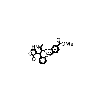 CCOC(=O)C1=C(C)NC2=C(C(=O)OC2)C1c1ccccc1SCc1ccc(C(=O)OC)cc1